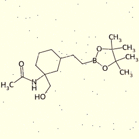 CC(=O)NC1(CO)CCCC(CCB2OC(C)(C)C(C)(C)O2)C1